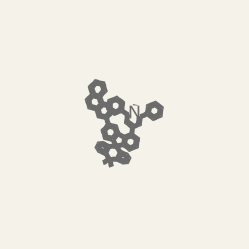 CN1C(c2ccccc2)=CC(c2cccc3c2-c2cc(-c4ccc5c(ccc6ccccc65)c4)ccc2C32c3ccccc3C(C)(C)c3ccccc32)=CC1c1ccccc1